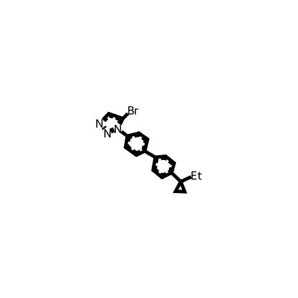 CCC1(c2ccc(-c3ccc(-n4nncc4Br)cc3)cc2)CC1